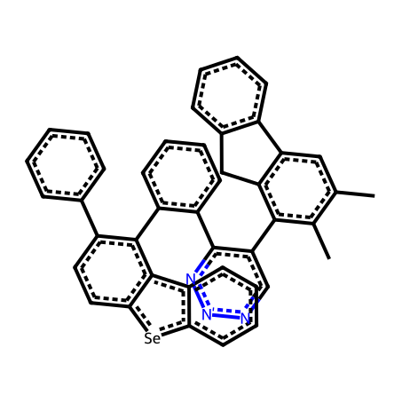 Cc1cc2c(c(-c3cnnnc3-c3ccccc3-c3c(-c4ccccc4)ccc4[se]c5ccccc5c34)c1C)Cc1ccccc1-2